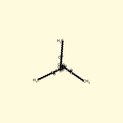 CCCCCCCCCCCCCOC(=O)CCSCCC(=O)n1c(=O)n(C(=O)CCSCCC(=O)OCCCCCCCCCCCCC)c(=O)n(C(=O)CCSCCC(=O)OCCCCCCCCCCCCC)c1=O